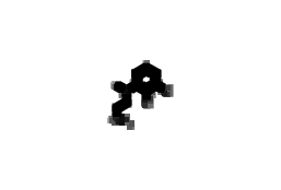 CN(CCN)c1cccc(Cl)c1Cl